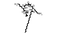 CCCCCCCCCCCCCCCC(=O)N[C@@H](CCCCN)C(=O)N[C@@H](C)C(=O)N[C@@H](C)C(=O)N[C@H](CCCCN)C(=O)NS(=O)(=O)C1CC1